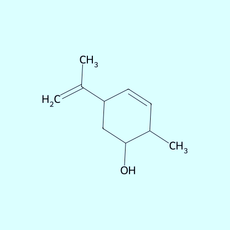 C=C(C)C1C=CC(C)C(O)C1